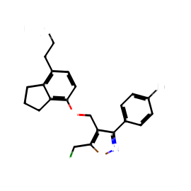 CCc1ccc(-c2nsc(CF)c2COc2ccc(CCC(=O)O)c3c2CCC3)cc1